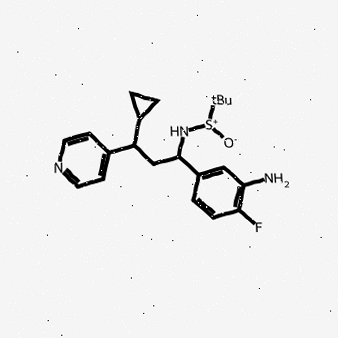 CC(C)(C)[S+]([O-])NC(CC(c1ccncc1)C1CC1)c1ccc(F)c(N)c1